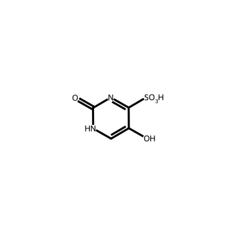 O=c1nc(S(=O)(=O)O)c(O)c[nH]1